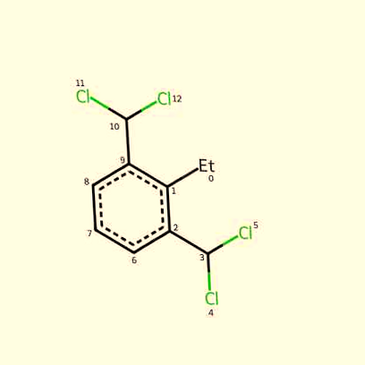 [CH2]Cc1c(C(Cl)Cl)cccc1C(Cl)Cl